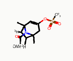 [2H]C1C([2H])C2(C)CC(OS(=O)(=O)C(F)(F)F)=CC1(C)N2C(=O)OC